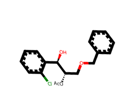 CC(=O)O[C@@H](COCc1ccccc1)[C@H](O)c1ccccc1Cl